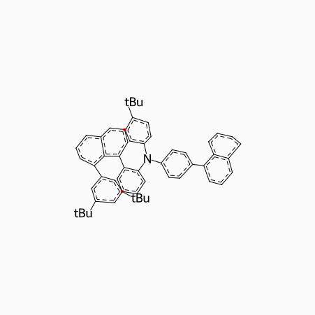 CC(C)(C)c1ccc(N(c2ccc(-c3cccc4ccccc34)cc2)c2ccccc2-c2cccc3cccc(-c4cc(C(C)(C)C)cc(C(C)(C)C)c4)c23)cc1